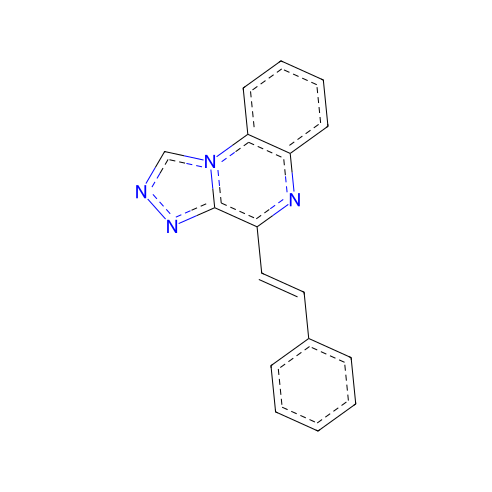 C(=Cc1nc2ccccc2n2cnnc12)c1ccccc1